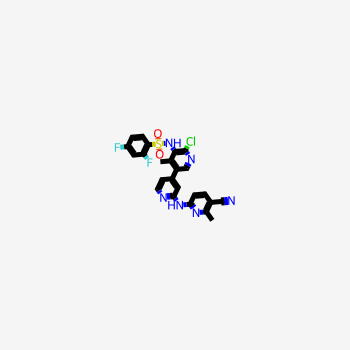 Cc1nc(Nc2cc(-c3cnc(Cl)c(NS(=O)(=O)c4ccc(F)cc4F)c3C)ccn2)ccc1C#N